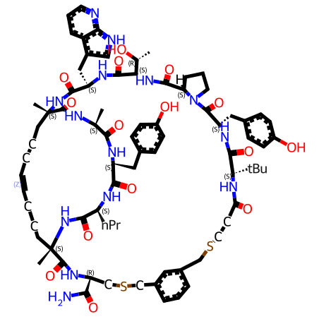 CCC[C@@H]1NC(=O)[C@H](Cc2ccc(O)cc2)NC(=O)[C@H](C)NC(=O)[C@]2(C)CCC/C=C\CCC[C@](C)(NC1=O)C(=O)N[C@H](C(N)=O)CSCc1cccc(c1)CSCCC(=O)N[C@@H](C(C)(C)C)C(=O)N[C@@H](Cc1ccc(O)cc1)C(=O)N1CCC[C@H]1C(=O)N[C@@H]([C@@H](C)O)C(=O)N[C@@H](Cc1c[nH]c3ncccc13)C(=O)N2